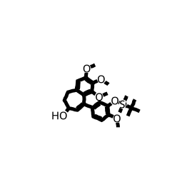 COc1ccc(C2=CC(O)CCc3cc(OC)c(OC)c(OC)c32)cc1O[Si](C)(C)C(C)(C)C